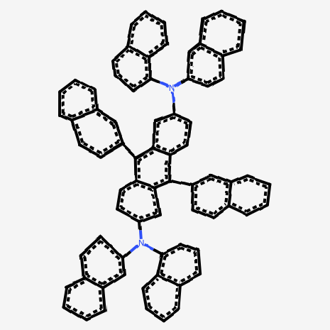 c1ccc2cc(-c3c4ccc(N(c5ccc6ccccc6c5)c5cccc6ccccc56)cc4c(-c4ccc5ccccc5c4)c4ccc(N(c5ccc6ccccc6c5)c5cccc6ccccc56)cc34)ccc2c1